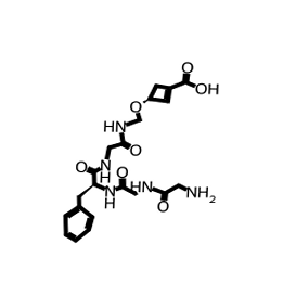 NCC(=O)NCC(=O)N[C@@H](Cc1ccccc1)C(=O)NCC(=O)NCO[C@H]1C=C(C(=O)O)C1